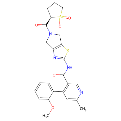 COc1ccccc1-c1cc(C)ncc1C(=O)Nc1nc2c(s1)CN(C(=O)[C@H]1CCCS1(=O)=O)C2